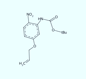 C=CCOc1ccc([N+](=O)[O-])c(NC(=O)OC(C)(C)C)c1